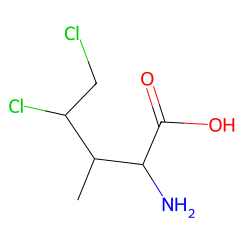 CC(C(Cl)CCl)C(N)C(=O)O